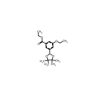 CCOC(=O)c1cc(OCC)cc(B2OC(C)(C)C(C)(C)O2)c1